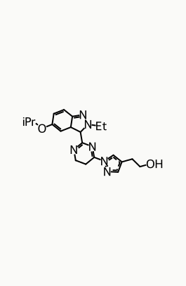 CCN1N=C2C=CC(OC(C)C)=CC2C1C1=NCCC(n2cc(CCO)cn2)=N1